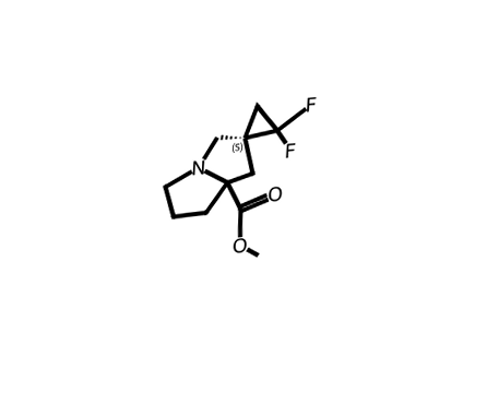 COC(=O)C12CCCN1C[C@]1(C2)CC1(F)F